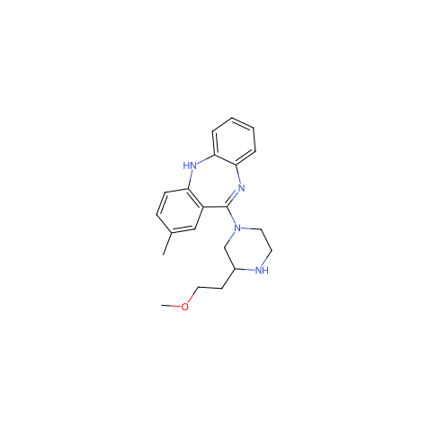 COCCC1CN(C2=Nc3ccccc3Nc3ccc(C)cc32)CCN1